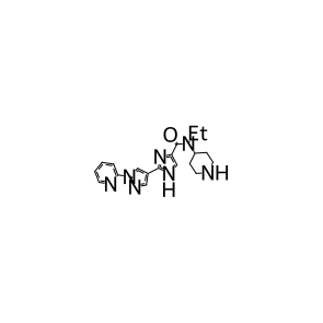 CCN(C(=O)c1c[nH]c(-c2cnn(-c3ccccn3)c2)n1)C1CCNCC1